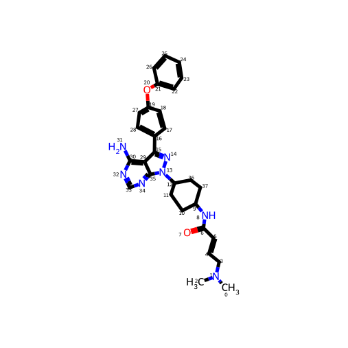 CN(C)CC=CC(=O)NC1CCC(n2nc(-c3ccc(Oc4ccccc4)cc3)c3c(N)ncnc32)CC1